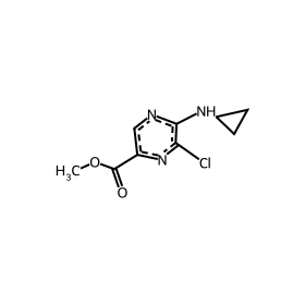 COC(=O)c1cnc(NC2CC2)c(Cl)n1